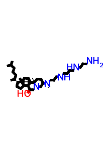 CC(C)CCCC(C)[C@H]1CCC2C3C(O)CN4CC(N(C)CCCNCCCCNCCCN)CC[C@]4(C)[C@H]3CCC21C